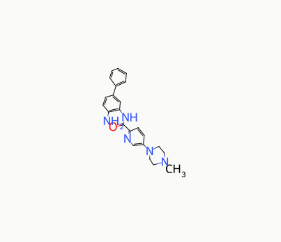 CN1CCN(c2ccc(C(=O)Nc3cc(-c4ccccc4)ccc3N)nc2)CC1